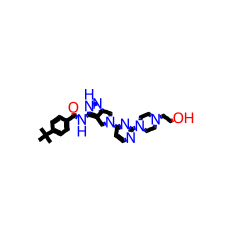 CC(C)(C)c1ccc(C(=O)Nc2[nH]nc3c2CN(c2ccnc(N4CCN(CCO)CC4)n2)C3)cc1